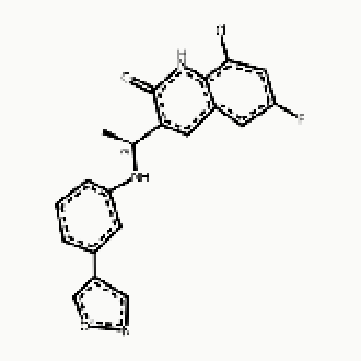 C[C@H](Nc1cccc(-c2cnoc2)c1)c1cc2cc(F)cc(Cl)c2[nH]c1=O